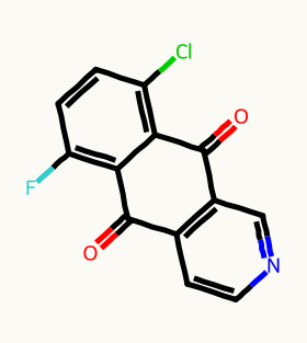 O=C1c2ccncc2C(=O)c2c(Cl)ccc(F)c21